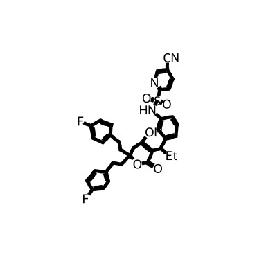 CCC(C1=C(O)CC(CCc2ccc(F)cc2)(CCc2ccc(F)cc2)OC1=O)c1cccc(NS(=O)(=O)c2ccc(C#N)cn2)c1